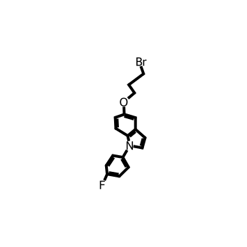 Fc1ccc(-n2ccc3cc(OCCCBr)ccc32)cc1